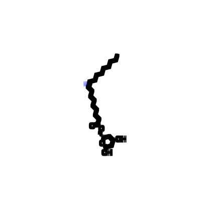 CCCCCCCC/C=C\CCCCCCCC(=O)OC[C@@H]1C[C@H](O)CC(O)O1